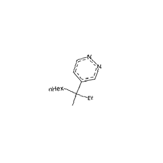 CCCCCCC(C)(CC)c1ccnnc1